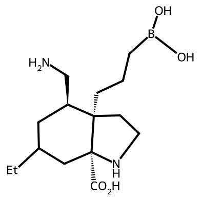 CCC1C[C@@H](CN)[C@@]2(CCCB(O)O)CCN[C@@]2(C(=O)O)C1